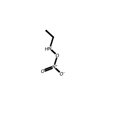 CCNO[N+](=O)[O-]